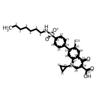 CCCCCCCNS(=O)(=O)c1ccc(-c2cc3c(cc2F)c(=O)c(C(=O)O)cn3C2CC2)cc1